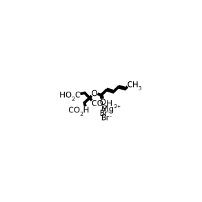 CC=CC=CC(=O)OC(CC(=O)O)(CC(=O)O)C(=O)O.[Br-].[Br-].[Mg+2]